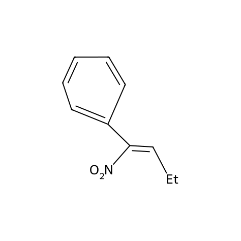 CCC=C(c1ccccc1)[N+](=O)[O-]